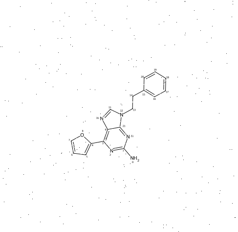 Nc1nc(-c2ccco2)c2ncn(CCc3ccccc3)c2n1